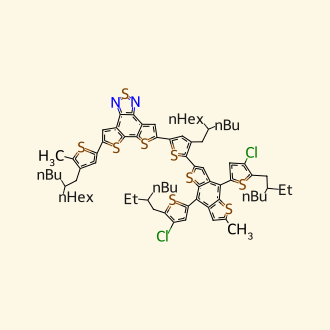 CCCCCCC(CCCC)Cc1cc(-c2cc3c4nsnc4c4cc(-c5cc(CC(CCCC)CCCCCC)c(-c6cc7c(-c8cc(Cl)c(CC(CC)CCCC)s8)c8sc(C)cc8c(-c8cc(Cl)c(CC(CC)CCCC)s8)c7s6)s5)sc4c3s2)sc1C